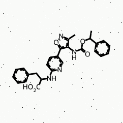 Cc1noc(-c2ccc(NC(Cc3ccccc3)C(=O)O)nc2)c1NC(=O)OC(C)c1ccccc1